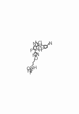 Cc1nc2cc(F)c(-c3cnc(OCCCCCNC(=O)C(F)(F)F)nc3)nc2c(NC(C)c2cc(C#N)ccc2F)c1Cl